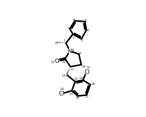 C[C@H](c1ccccc1)N1CC[C@H](Cc2c(Cl)cccc2Cl)C1=O